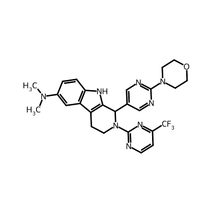 CN(C)c1ccc2[nH]c3c(c2c1)CCN(c1nccc(C(F)(F)F)n1)C3c1cnc(N2CCOCC2)nc1